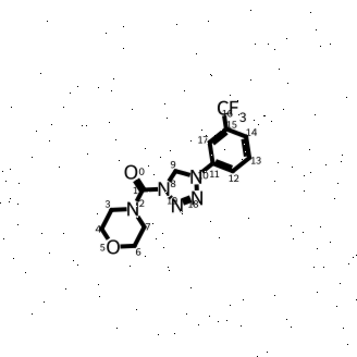 O=C(N1CCOCC1)N1CN(c2cccc(C(F)(F)F)c2)N=N1